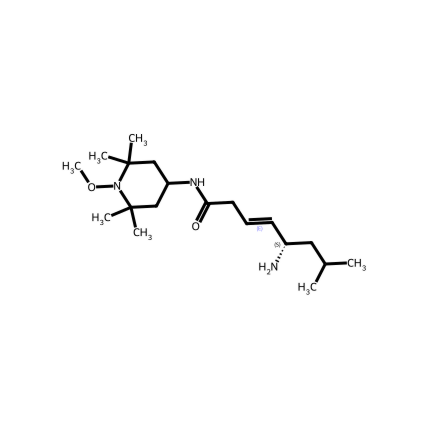 CON1C(C)(C)CC(NC(=O)C/C=C/[C@@H](N)CC(C)C)CC1(C)C